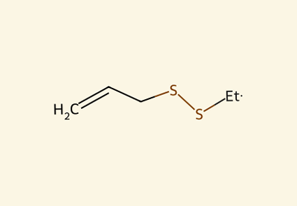 C=CCSS[CH]C